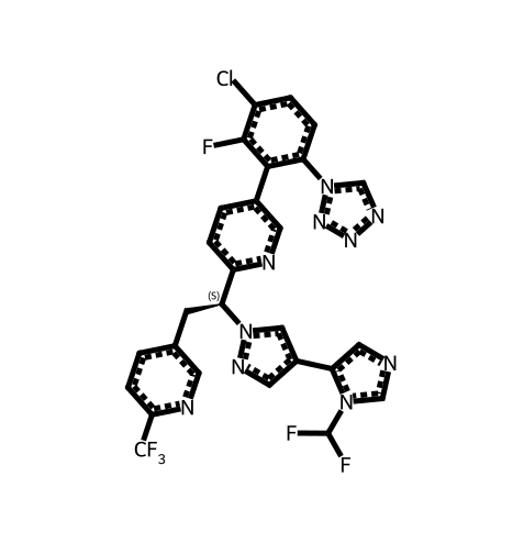 Fc1c(Cl)ccc(-n2cnnn2)c1-c1ccc([C@H](Cc2ccc(C(F)(F)F)nc2)n2cc(-c3cncn3C(F)F)cn2)nc1